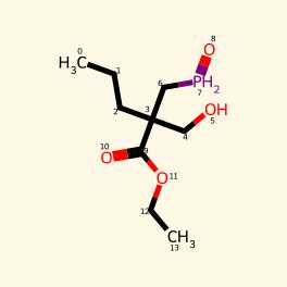 CCCC(CO)(C[PH2]=O)C(=O)OCC